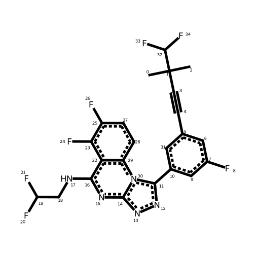 CC(C)(C#Cc1cc(F)cc(-c2nnc3nc(NCC(F)F)c4c(F)c(F)ccc4n23)c1)C(F)F